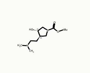 CN(C)CC[C@@H]1CN(C(=O)OC(C)(C)C)C[C@H]1O